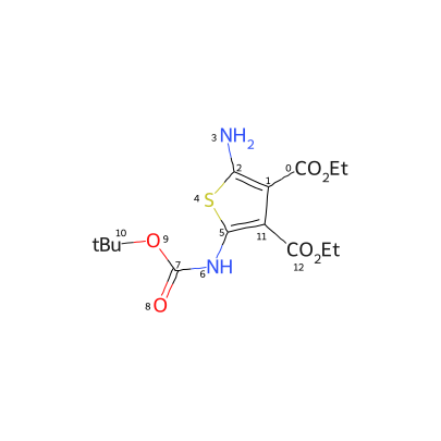 CCOC(=O)c1c(N)sc(NC(=O)OC(C)(C)C)c1C(=O)OCC